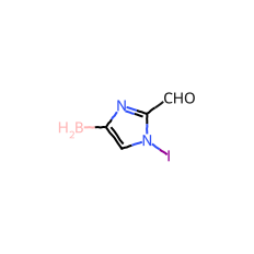 Bc1cn(I)c(C=O)n1